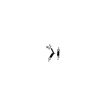 C[C]=O.[O]=[Ti]